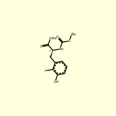 COC(=O)[C@H](Cc1cccc(O)c1F)NC(=O)OC(C)(C)C